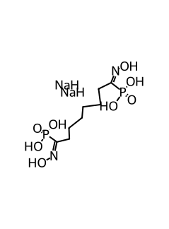 O=P(O)(O)/C(CCCCCC/C(=N/O)P(=O)(O)O)=N\O.[NaH].[NaH]